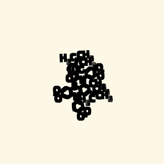 Cc1cc2c(c(C)c1N1c3cc(C(C)(C)C)cc4c3B(c3cc5c(cc3N4c3ccc4c(c3)OCO4)OCO5)c3oc4ccc(C(C)(C)C)cc4c31)OCO2